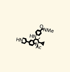 CNC(=O)c1ccc(N[C@H]2c3cc(C4=CCNCC4)ccc3N(C(C)=O)C(C3CC3)[C@@H]2C)cc1